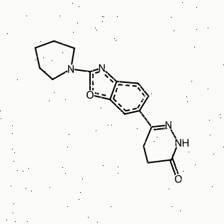 O=C1CCC(c2ccc3nc(N4CCCCC4)oc3c2)=NN1